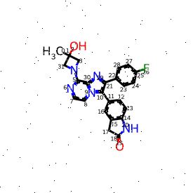 CC1(O)CN(c2nccn3c(-c4ccc5c(c4)CC(=O)N5)c(-c4ccc(F)cc4)nc23)C1